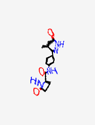 CC1CC(=O)NN=C1c1ccc(NC(=O)C2CCC(=O)N2)cc1